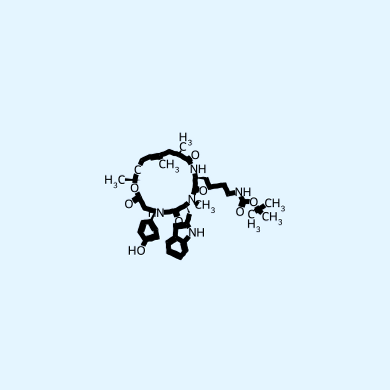 C/C1=C\CC[C@H](C)OC(=O)C[C@H](c2ccc(O)cc2)NC(=O)[C@@H](Cc2cc3ccccc3[nH]2)N(C)C(=O)[C@H](CCCCNC(=O)OC(C)(C)C)NC(=O)[C@@H](C)C1